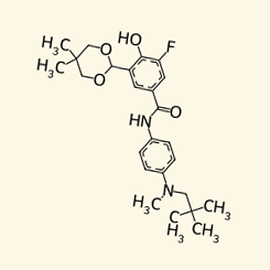 CN(CC(C)(C)C)c1ccc(NC(=O)c2cc(F)c(O)c(C3OCC(C)(C)CO3)c2)cc1